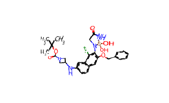 CC(C)(C)OC(=O)N1CC(Nc2ccc3cc(OCc4ccccc4)c(N4CC(=O)NS4(O)O)c(F)c3c2)C1